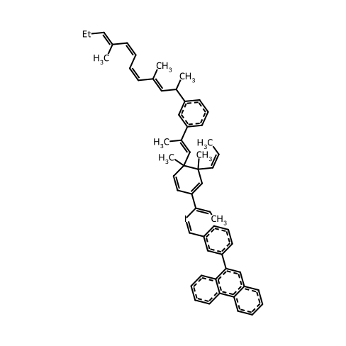 C/C=C\C1(C)C=C(C(=C/C)/I=C\c2cccc(-c3cc4ccccc4c4ccccc34)c2)C=CC1(C)/C=C(\C)c1cccc(C(C)/C=C(C)/C=C\C=C/C(C)=C/CC)c1